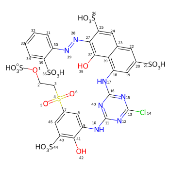 O=S(=O)(O)OCCS(=O)(=O)c1cc(Nc2nc(Cl)nc(Nc3cc(S(=O)(=O)O)cc4cc(S(=O)(=O)O)c(/N=N/c5ccccc5S(=O)(=O)O)c(O)c34)n2)c(O)c(S(=O)(=O)O)c1